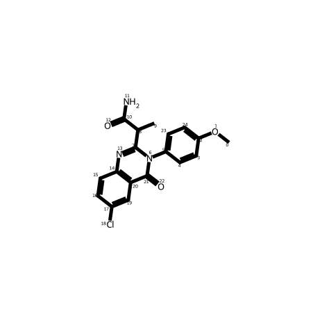 COc1ccc(-n2c(C(C)C(N)=O)nc3ccc(Cl)cc3c2=O)cc1